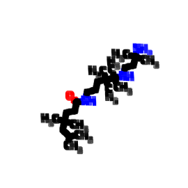 CC(C)CC(C)(C)CCC(=O)NCCCC(C)(C)C(C)(C)NCCC(C)(C)N